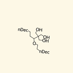 CCCCCCCCCCCCOC(CCCCCCCCCCCC)C(CO)(CO)CO